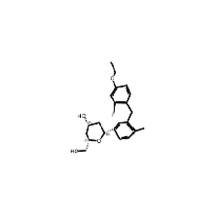 CCOc1ccc(Cc2cc([C@H]3C[C@@H](O)C[C@@H](CO)O3)ccc2C)c(F)c1